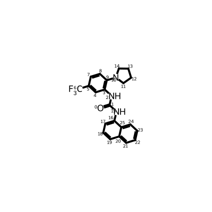 O=C(Nc1cc(C(F)(F)F)ccc1N1CCCC1)Nc1cccc2ccccc12